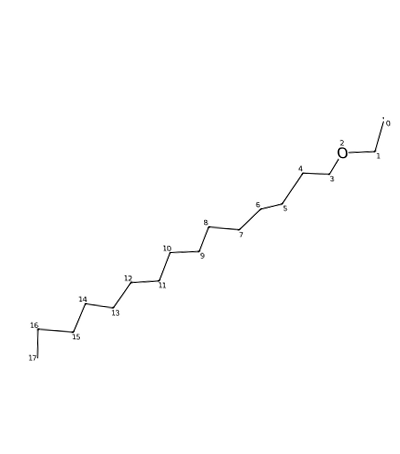 [CH2]COCCCCCCCCCCCCCCC